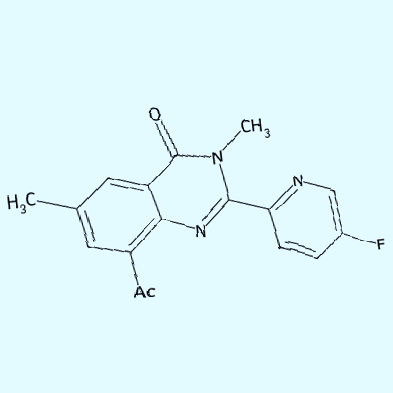 CC(=O)c1cc(C)cc2c(=O)n(C)c(-c3ccc(F)cn3)nc12